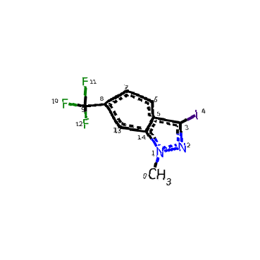 Cn1nc(I)c2ccc(C(F)(F)F)cc21